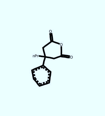 CCCC1(c2ccccc2)CC(=O)OC(=O)C1